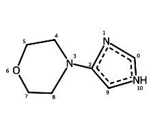 c1nc(N2CCOCC2)c[nH]1